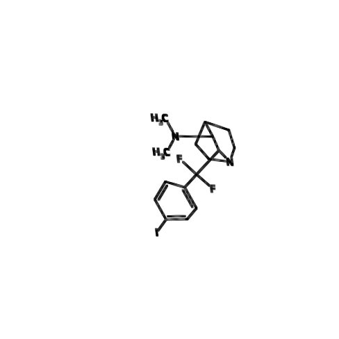 CN(C)C1C2CCN(CC2)C1C(F)(F)c1ccc(I)cc1